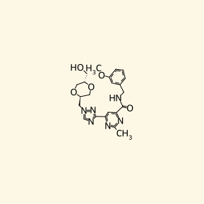 COc1cccc(CNC(=O)c2cc(-c3ncn(C[C@@H]4CO[C@@H](CO)CO4)n3)nc(C)n2)c1